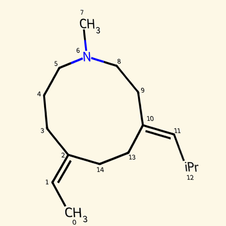 C/C=C1/CCCN(C)CC/C(=C/C(C)C)CC1